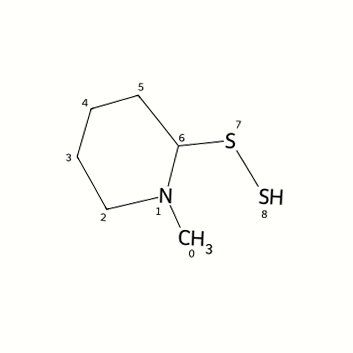 CN1CCCCC1SS